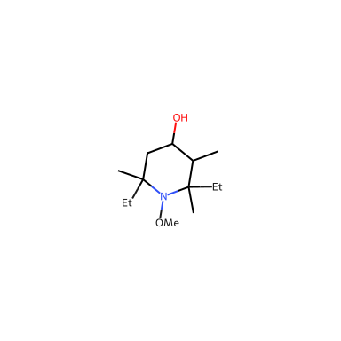 CCC1(C)CC(O)C(C)C(C)(CC)N1OC